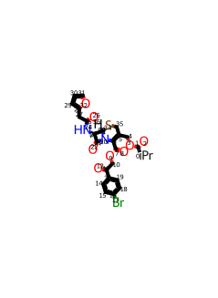 CC(C)C(=O)OCC1=C(C(=O)OCC(=O)c2ccc(Br)cc2)N2C(=O)[C@@H](NC(=O)Cc3ccco3)[C@H]2SC1